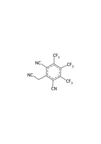 N#CCc1c(C#N)c(C(F)(F)F)c(C(F)(F)F)c(C(F)(F)F)c1C#N